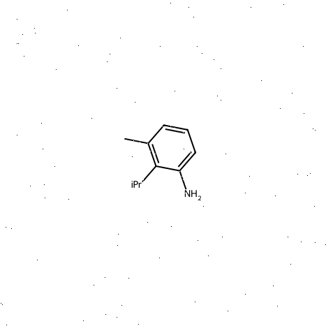 Cc1cccc(N)c1C(C)C